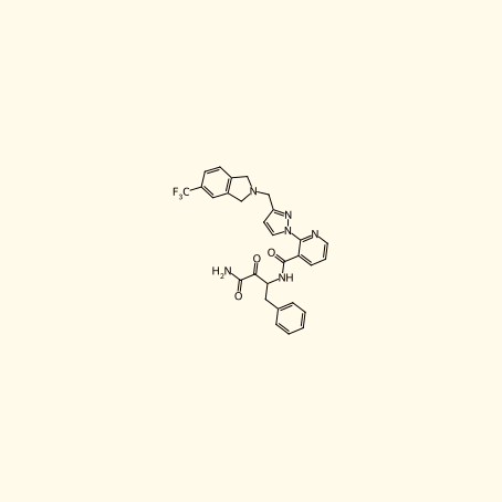 NC(=O)C(=O)C(Cc1ccccc1)NC(=O)c1cccnc1-n1ccc(CN2Cc3ccc(C(F)(F)F)cc3C2)n1